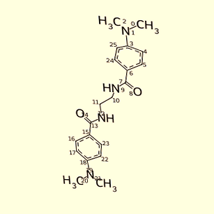 CN(C)c1ccc(C(=O)NCCNC(=O)c2ccc(N(C)C)cc2)cc1